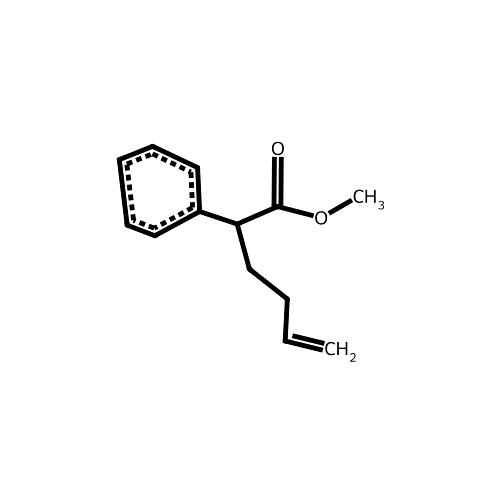 C=CCCC(C(=O)OC)c1ccccc1